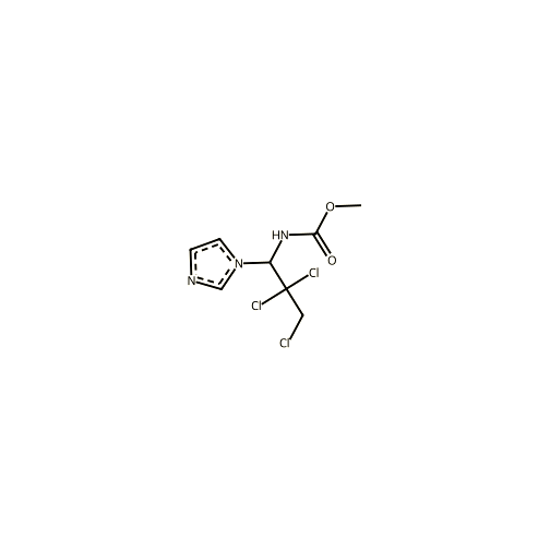 COC(=O)NC(n1ccnc1)C(Cl)(Cl)CCl